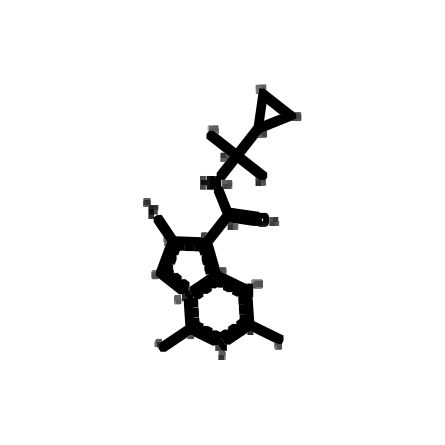 Cc1nc(C)n2cc(F)c(C(=O)NC(C)(C)C3CC3)c2n1